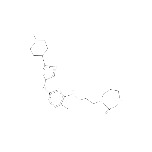 CN1CCC(c2ncc(Nc3ncc(C(F)(F)F)c(NCCCN4CCCOCC4=O)n3)o2)CC1